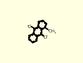 Cc1cccc2c(Cl)c3ccccc3c(Cl)c12